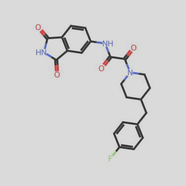 O=C(Nc1ccc2c(c1)C(=O)NC2=O)C(=O)N1CCC(Cc2ccc(F)cc2)CC1